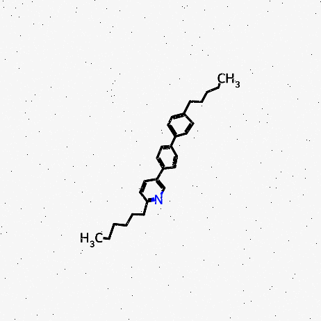 CCCCCCc1ccc(-c2ccc(-c3ccc(CCCCC)cc3)cc2)cn1